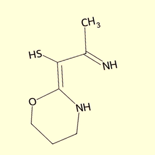 CC(=N)/C(S)=C1\NCCCO1